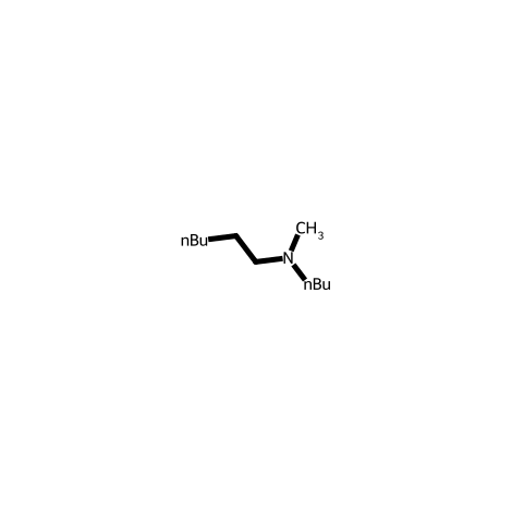 [CH]CCCN(C)CCCCCC